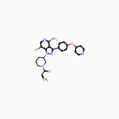 C=CC(=O)N1CCC[C@@H](n2nc(-c3ccc(Oc4ccncc4)cc3)c3c(N)ncc(Cl)c32)C1